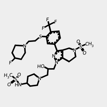 CS(=O)(=O)NC1CCN(CC(O)Cn2nc(-c3ccc(C(F)(F)F)c(SCCN4CCC(F)CC4)c3)c3c2CCN(S(C)(=O)=O)C3)CC1